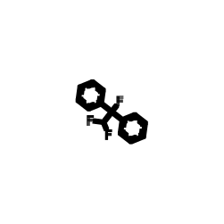 FC(F)C(F)(c1ccccc1)c1ccccc1